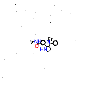 CCN1c2ccc(C(=O)NC3CC3)cc2C2NCCCC2C1c1ccccc1